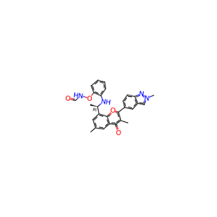 Cc1cc([C@@H](C)Nc2ccccc2ONC=O)c2oc(-c3ccc4nn(C)cc4c3)c(C)c(=O)c2c1